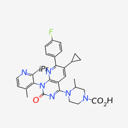 Cc1ccnc(C(C)C)c1-n1c(=O)nc(N2CCN(C(=O)O)CC2C)c2cc(C3CC3)c(-c3ccc(F)cc3)nc21